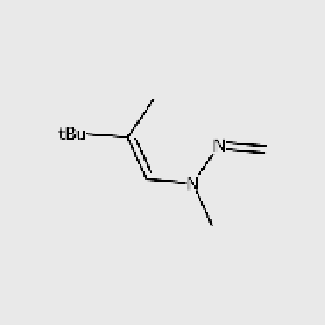 C=NN(C)/C=C(\C)C(C)(C)C